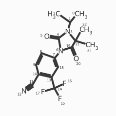 CC(C)N1C(=O)N(c2ccc(C#N)c(C(F)(F)F)c2)C(=O)C1(C)C